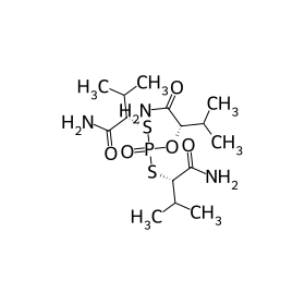 CC(C)[C@H](OP(=O)(S[C@H](C(N)=O)C(C)C)S[C@H](C(N)=O)C(C)C)C(N)=O